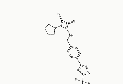 O=c1c(NCc2ccc(-c3noc(C(F)(F)F)n3)cc2)c(N2CCCC2)c1=O